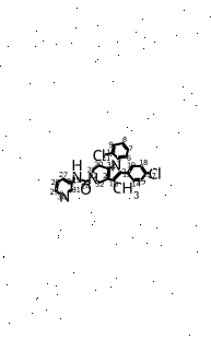 Cc1c2c(n(-c3ccccc3Cl)c1-c1ccc(Cl)cc1)CCN(C(=O)Nc1cccnc1)C2